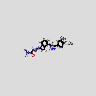 CC(C)COc1ccc(-c2nnc(-c3cccc4c3CCC4NSCC(=O)N(C)C)s2)cc1C#N